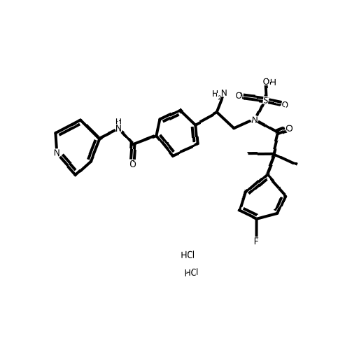 CC(C)(C(=O)N(CC(N)c1ccc(C(=O)Nc2ccncc2)cc1)S(=O)(=O)O)c1ccc(F)cc1.Cl.Cl